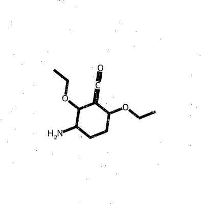 CCOC1CCC(N)C(OCC)C1=C=O